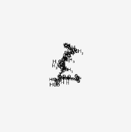 Cc1c(-c2ccc(-c3ccc4c(c3)N(C(=O)Nc3nc5ccccc5s3)CCN4C)nc2C(=O)O)cnn1CC1(C)CC2(C)CC(C)(C)CC2(OCCN(C)C(=O)OC/C=C/c2ccc(O[C@H]3C[C@@H](O)C[C@@H](C(=O)O)O3)c(NC(=O)CCNC(=O)CCCCCN3C(=O)C=CC3=O)c2)C1